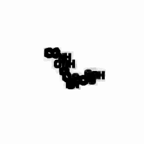 O=C(Nc1ccc2ccccc2c1)Nc1ccc2ccc(S(=O)(=O)Nc3ccc(S(=O)(=O)O)cc3)cc2c1